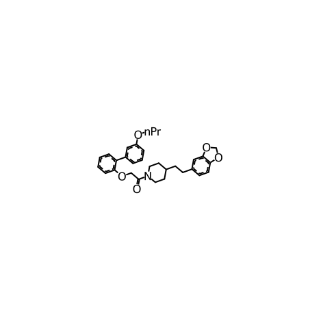 CCCOc1cccc(-c2ccccc2OCC(=O)N2CCC(CCc3ccc4c(c3)OCO4)CC2)c1